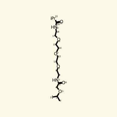 CC(I)OCC(=O)NCCOCCOCCOCCNC(=O)C(C)C